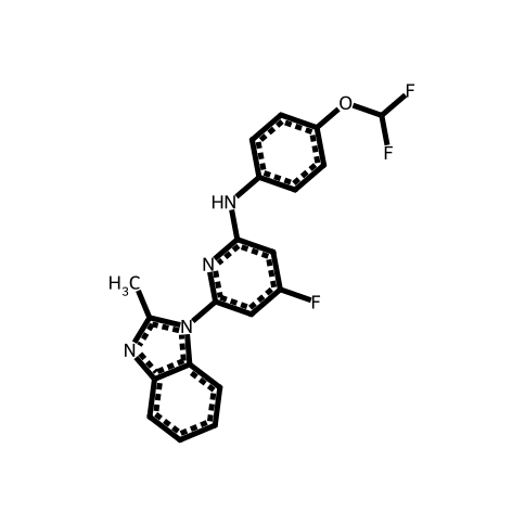 Cc1nc2ccccc2n1-c1cc(F)cc(Nc2ccc(OC(F)F)cc2)n1